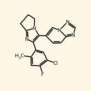 Cc1cc(F)c(Cl)cc1-c1nc2n(c1-c1ccc3ncnn3c1)CCC2